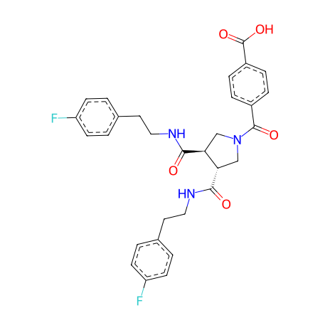 O=C(O)c1ccc(C(=O)N2C[C@H](C(=O)NCCc3ccc(F)cc3)[C@@H](C(=O)NCCc3ccc(F)cc3)C2)cc1